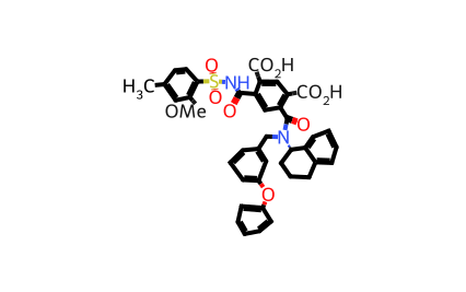 COc1cc(C)ccc1S(=O)(=O)NC(=O)c1cc(C(=O)N(Cc2cccc(Oc3ccccc3)c2)[C@H]2CCCc3ccccc32)c(C(=O)O)cc1C(=O)O